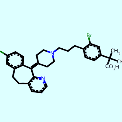 CC(C)(C(=O)O)c1ccc(CCCN2CCC(=C3c4ccc(Cl)cc4CCc4cccnc43)CC2)c(Br)c1